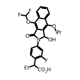 CCC(C(=O)O)c1ccc(N2C(=O)c3c(c(OC(C)C)c4ccccc4c3OC(F)F)C2O)cc1F